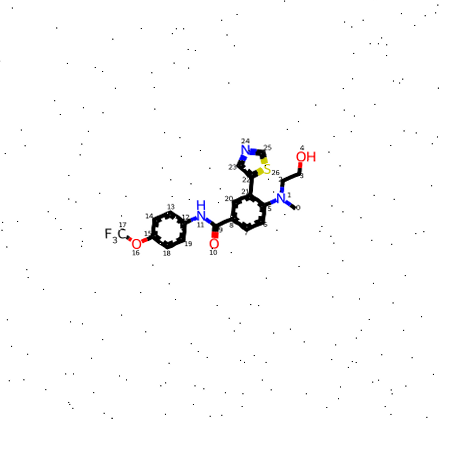 CN(CCO)c1ccc(C(=O)Nc2ccc(OC(F)(F)F)cc2)cc1-c1cncs1